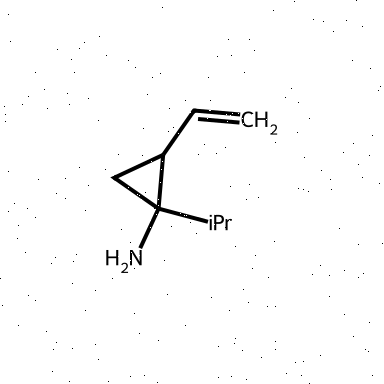 C=CC1CC1(N)C(C)C